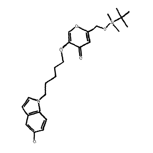 CC(C)(C)[Si](C)(C)OCc1cc(=O)c(OCCCCCn2ccc3cc(Cl)ccc32)co1